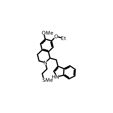 CCOc1cc2c(cc1OC)CCN(CCSC)C2Cc1c[nH]c2ccccc12